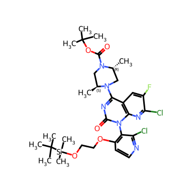 C[C@@H]1CN(c2nc(=O)n(-c3c(OCCO[Si](C)(C)C(C)(C)C)ccnc3Cl)c3nc(Cl)c(F)cc23)[C@@H](C)CN1C(=O)OC(C)(C)C